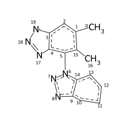 Cc1cc2c(c(-n3nnc4ccccc43)c1C)N=N[N]2